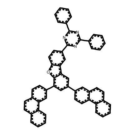 c1ccc(-c2nc(-c3ccccc3)nc(-c3ccc4oc5c(-c6ccc7ccc8ccccc8c7c6)cc(-c6ccc7c(ccc8ccccc87)c6)cc5c4c3)n2)cc1